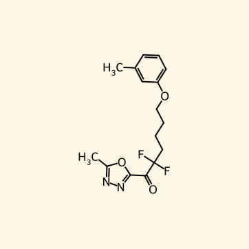 Cc1cccc(OCCCCC(F)(F)C(=O)c2nnc(C)o2)c1